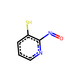 O=Nc1ncccc1S